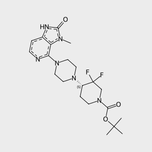 Cn1c(=O)[nH]c2ccnc(N3CCN([C@H]4CCN(C(=O)OC(C)(C)C)CC4(F)F)CC3)c21